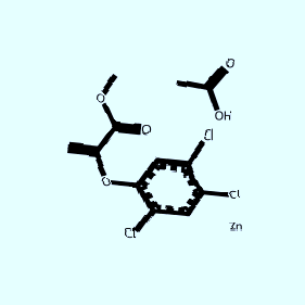 C=C(Oc1cc(Cl)c(Cl)cc1Cl)C(=O)OC.CC(=O)O.[Zn]